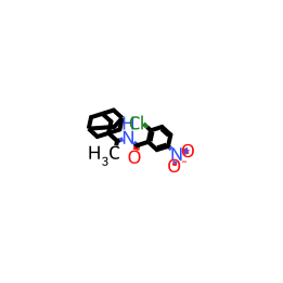 CC(NC(=O)c1cc([N+](=O)[O-])ccc1Cl)C12CC3CC(CC(C3)C1)C2